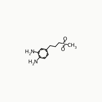 CS(=O)(=O)CCCc1ccc(N)c(N)c1